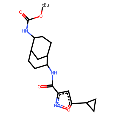 CC(C)(C)OC(=O)NC1CCC2CC1CCC2NC(=O)c1cc(C2CC2)on1